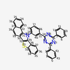 c1ccc(-c2nc(-c3ccccc3)nc(-c3cccc(-n4c5c6ccccc6ccc5c5sc6ccccc6c54)c3)n2)cc1